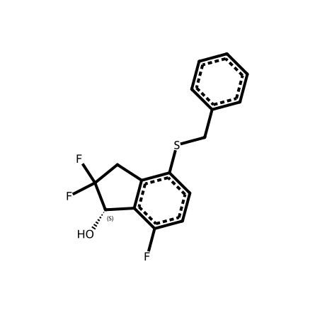 O[C@H]1c2c(F)ccc(SCc3ccccc3)c2CC1(F)F